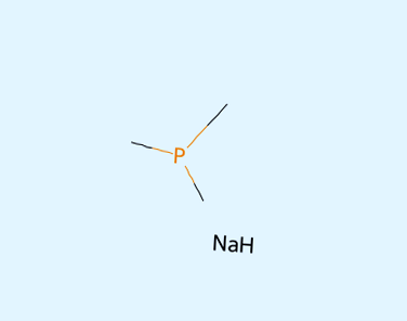 CP(C)C.[NaH]